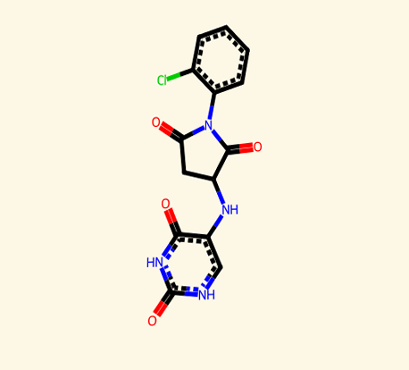 O=C1CC(Nc2c[nH]c(=O)[nH]c2=O)C(=O)N1c1ccccc1Cl